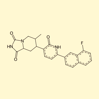 CC1CN2C(=O)NC(=O)C2CC1c1ccc(-c2ccc3cccc(F)c3c2)[nH]c1=O